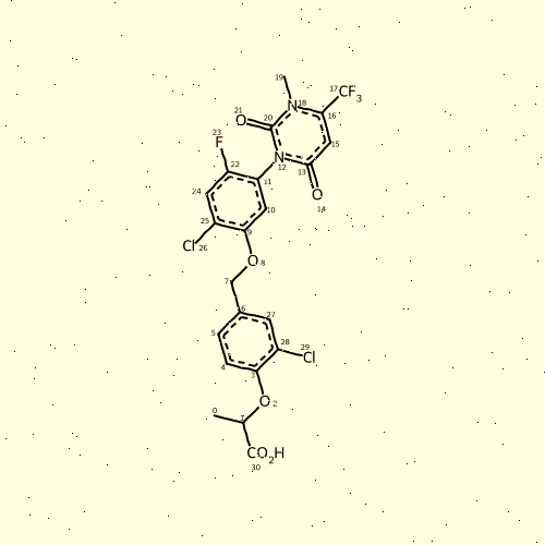 CC(Oc1ccc(COc2cc(-n3c(=O)cc(C(F)(F)F)n(C)c3=O)c(F)cc2Cl)cc1Cl)C(=O)O